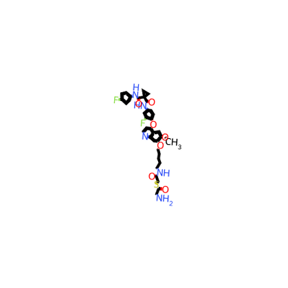 COc1cc2c(Oc3ccc(NC(=O)C4(C(=O)Nc5ccc(F)cc5)CC4)cc3F)ccnc2cc1OCCCCCNC(=O)CSC(=O)CN